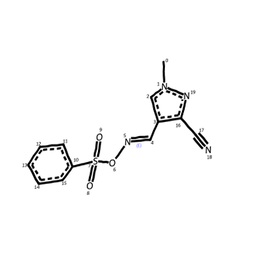 Cn1cc(/C=N/OS(=O)(=O)c2ccccc2)c(C#N)n1